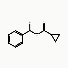 O=C(OC(F)c1ccccc1)C1CC1